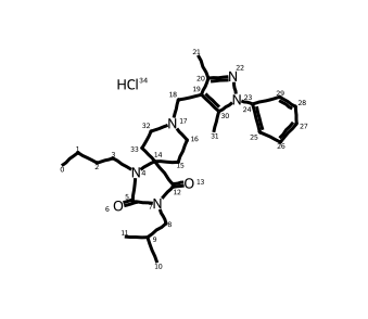 CCCCN1C(=O)N(CC(C)C)C(=O)C12CCN(Cc1c(C)nn(-c3ccccc3)c1C)CC2.Cl